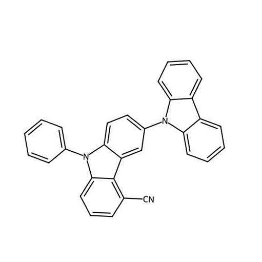 N#Cc1cccc2c1c1cc(-n3c4ccccc4c4ccccc43)ccc1n2-c1ccccc1